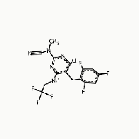 CN(C#N)c1nc(Cl)c(Cc2c(F)cc(F)cc2F)c(NCC(F)(F)F)n1